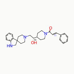 O=C(/C=C/c1ccccc1)N1CCC([C@H](O)CN2CCC3(CC2)CNc2ccccc23)CC1